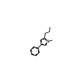 CCCc1cc(-c2ccccc2)cn1C